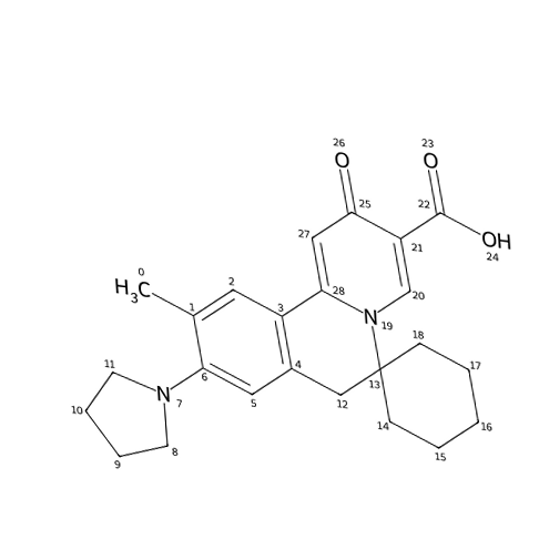 Cc1cc2c(cc1N1CCCC1)CC1(CCCCC1)n1cc(C(=O)O)c(=O)cc1-2